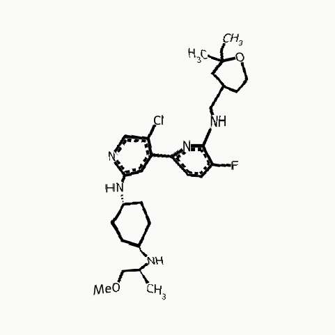 COC[C@H](C)N[C@H]1CC[C@H](Nc2cc(-c3ccc(F)c(NCC4CCOC(C)(C)C4)n3)c(Cl)cn2)CC1